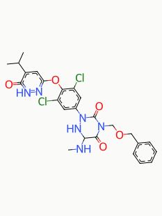 CNC1NN(c2cc(Cl)c(Oc3cc(C(C)C)c(=O)[nH]n3)c(Cl)c2)C(=O)N(COCc2ccccc2)C1=O